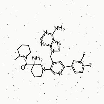 CC1CCCCN1C(=O)C1(N)CCCN(c2cnc(-c3ccc(F)c(F)c3)cc2Cn2cnc3c(N)ncnc32)C1